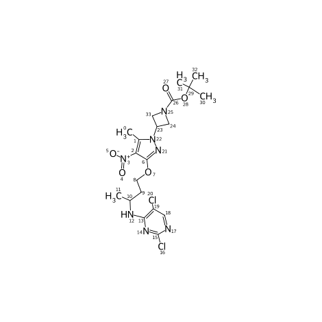 Cc1c([N+](=O)[O-])c(OCCC(C)Nc2nc(Cl)ncc2Cl)nn1C1CN(C(=O)OC(C)(C)C)C1